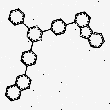 c1ccc(-c2nc(-c3ccc(-c4ccc5ccccc5c4)cc3)nc(-c3ccc(-c4cccc5c4sc4ccccc45)cc3)n2)cc1